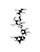 CC(C)OC(=O)[C@@H](C)N[PH](O)(OCCSC(=O)C(C)(C)CO)OC[C@H]1O[C@@H](n2cnc3c(=O)[nH]c(N)nc32)[C@](C)(Cl)[C@@H]1O